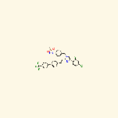 CS(=O)(=O)Nc1ccc(Cn2cc(-c3ccc(Cl)cc3Cl)nc2/C=C/c2ccc(-c3ccc(C(F)(F)F)cc3)cc2)cc1